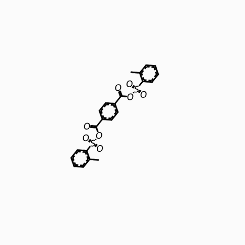 Cc1ccccc1S(=O)(=O)OC(=O)c1ccc(C(=O)OS(=O)(=O)c2ccccc2C)cc1